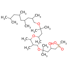 CC(C)CC(C)CC(C)CC(C)COC(C)(C)CC(C)OC(C)C(C)COC(C)(C)CC(O)CS(C)(=O)=O